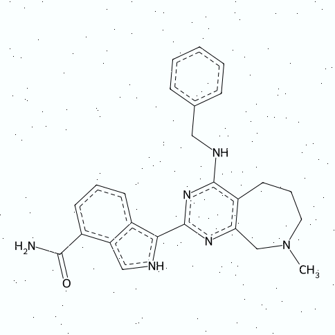 CN1CCCc2c(nc(-c3[nH]cc4c(C(N)=O)cccc34)nc2NCc2ccccc2)C1